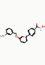 COc1cccc(COc2cccc(-c3ccc(C(=O)NO)cc3)c2)c1